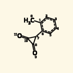 Cc1ccccc1[C]1C(=O)C1=O